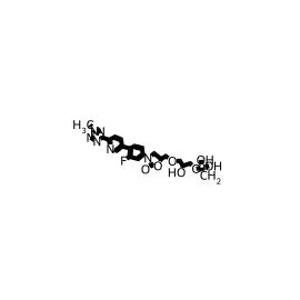 C=P(O)(O)OCC(O)COCC1CN(c2ccc(-c3ccc(-c4nnn(C)n4)nc3)c(F)c2)C(=O)O1